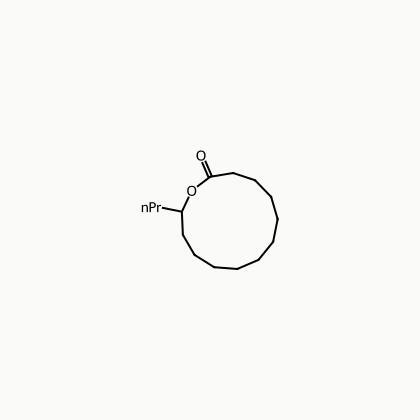 CCCC1CCCCCCCCCCC(=O)O1